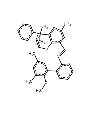 COc1c(C)cc(C)cc1-c1ccccc1/N=C/c1cc(C)cc(C(C)(C)c2ccccc2)c1O/C=C\Cl